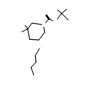 CC(C)(C)OC(=O)N1C[C@H](NCCCO)CC(F)(F)C1